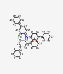 Fc1cc(-c2ccccc2)cc(-c2ccccc2)c1N(c1ccc(-c2ccccc2)cc1)c1ccc(-c2ccccc2)cc1